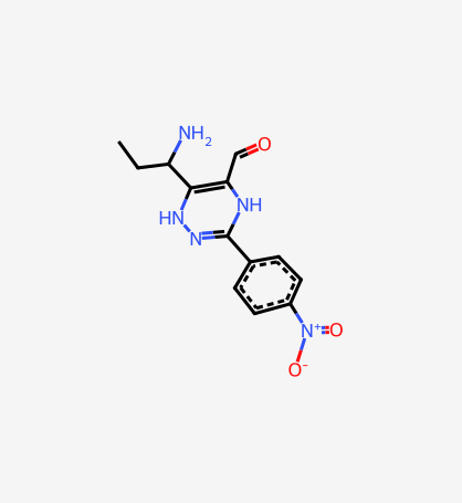 CCC(N)C1=C(C=O)NC(c2ccc([N+](=O)[O-])cc2)=NN1